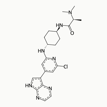 C[C@@H](C(=O)N[C@H]1CC[C@H](Nc2cc(-c3c[nH]c4nccnc34)cc(Cl)n2)CC1)N(C)C